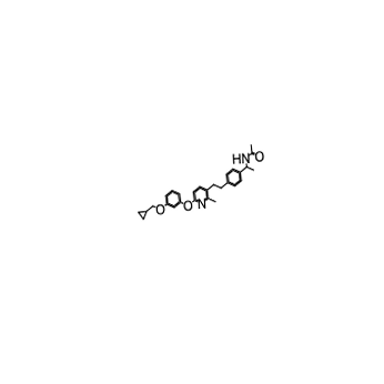 CC(=O)NC(C)c1ccc(CCc2ccc(Oc3cccc(OCC4CC4)c3)nc2C)cc1